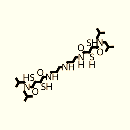 CC(C)CN(CC(C)C)C(=O)C(S)C(S)C(=O)NCCCNCCCNC(=O)C(S)C(S)C(=O)N(CC(C)C)CC(C)C